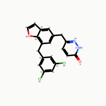 O=c1ccc(Cc2cc(Cc3cc(Cl)cc(Cl)c3)c3occc3c2)n[nH]1